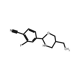 CCC1CNC(c2ccc(C#N)c(F)c2)OC1